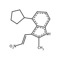 Cc1[nH]c2cccc(C3CCCC3)c2c1C=C[N+](=O)[O-]